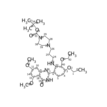 CCOc1ccc(-c2nc3cc(OC)cc(OC)c3c(=O)[nH]2)c(NCCCN2CCN(C(=O)OC(C)(C)C)CC2)c1OCC